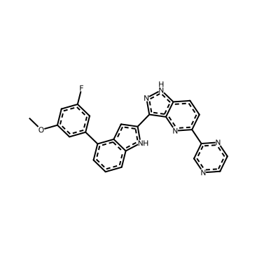 COc1cc(F)cc(-c2cccc3[nH]c(-c4n[nH]c5ccc(-c6cnccn6)nc45)cc23)c1